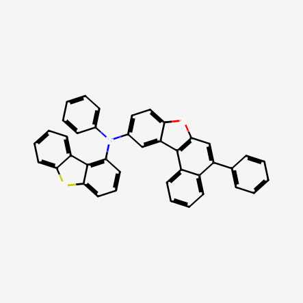 c1ccc(-c2cc3oc4ccc(N(c5ccccc5)c5cccc6sc7ccccc7c56)cc4c3c3ccccc23)cc1